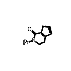 CC(C)N1CCC2=C(CC=C2)C1=O